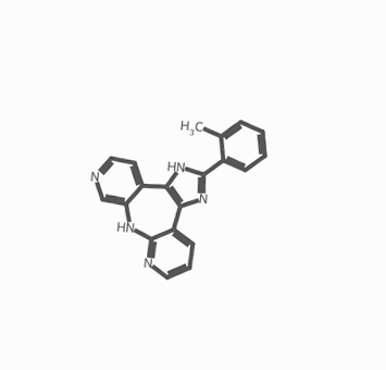 Cc1ccccc1-c1nc2c([nH]1)-c1ccncc1Nc1ncccc1-2